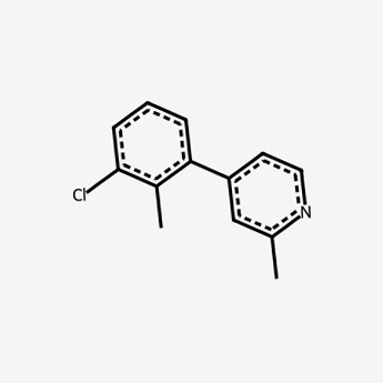 Cc1cc(-c2cccc(Cl)c2C)ccn1